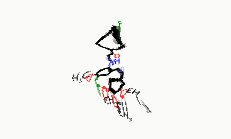 COc1cc(N/C=C\C(=O)C2C=CC=C(F)C=C2)c(/C=C\c2cc(OC)c(OC)c(OC)c2)cc1F